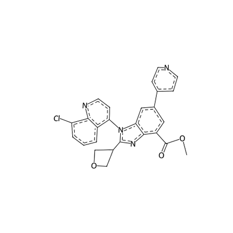 COC(=O)c1cc(-c2ccncc2)cc2c1nc(C1COC1)n2-c1ccnc2c(Cl)cccc12